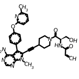 C=CC(=O)N[C@H](CO)C(=O)N1CCC(C#Cc2c(-c3ccc(Oc4cccc(C)n4)cc3)c3c(N)ncnc3n2C)CC1